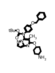 Cc1c(O[C@H]2CC[C@H](N)CC2)nc2ccnn2c1N(C(=O)OC(C)(C)C)c1ccc(OCc2ccccc2)cc1